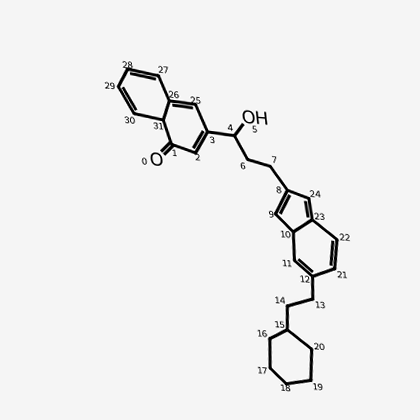 O=C1C=C(C(O)CCC2=CC3C=C(CCC4CCCCC4)C=CC3=C2)C=C2C=CC=CC12